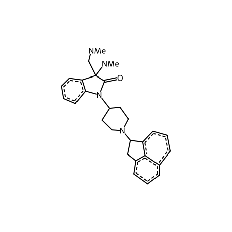 CNCC1(NC)C(=O)N(C2CCN(C3Cc4cccc5cccc3c45)CC2)c2ccccc21